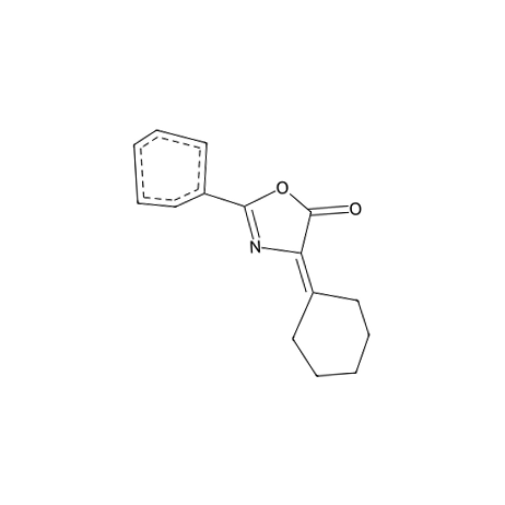 O=C1OC(c2ccccc2)=NC1=C1CCCCC1